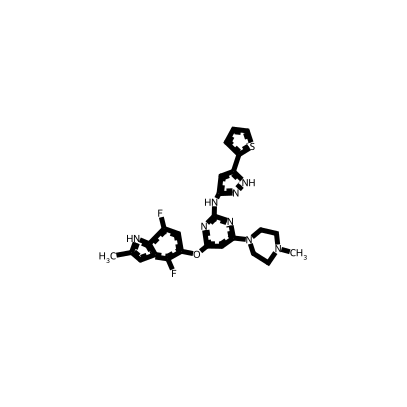 Cc1cc2c(F)c(Oc3cc(N4CCN(C)CC4)nc(Nc4cc(-c5cccs5)[nH]n4)n3)cc(F)c2[nH]1